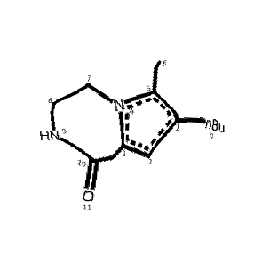 CCCCc1cc2n(c1C)CCNC2=O